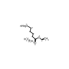 C=C.C=COC(=O)CCCCCCCCCCC